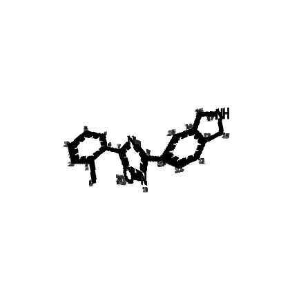 Cc1ccccc1-c1nc(-c2ccc3c(c2)CNC3)no1